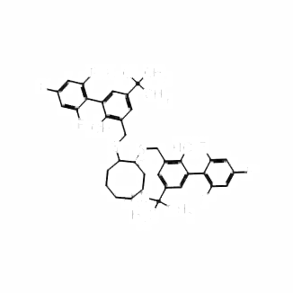 CC(C)(C)c1cc(CSC2CCCCCC[C@@H]2SCc2cc(C(C)(C)C)cc(-c3c(F)cc(F)cc3F)c2O)c(O)c(-c2c(F)cc(F)cc2F)c1